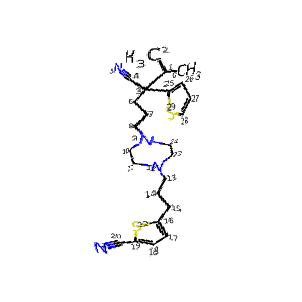 CC(C)C(C#N)(CCCN1CCN(CCCc2ccc(C#N)s2)CC1)c1cccs1